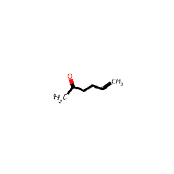 [CH2]C(=O)CCC=C